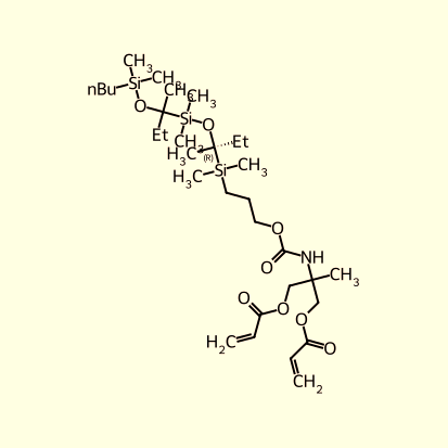 C=CC(=O)OCC(C)(COC(=O)C=C)NC(=O)OCCC[Si](C)(C)[C@](C)(CC)O[Si](C)(C)C(C)(CC)O[Si](C)(C)CCCC